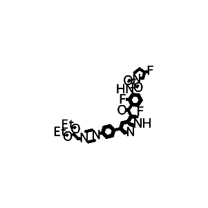 CCOC(CN1CCN(c2ccc(-c3cnc4[nH]cc(C(=O)c5c(F)ccc(NS(=O)(=O)N6CCC(F)C6)c5F)c4c3)cc2)CC1)OCC